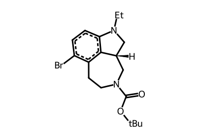 CCN1C[C@@H]2CN(C(=O)OC(C)(C)C)CCc3c(Br)ccc1c32